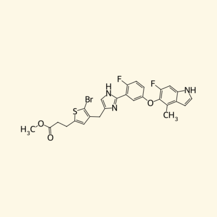 COC(=O)CCc1cc(Cc2c[nH]c(-c3cc(Oc4c(F)cc5[nH]ccc5c4C)ccc3F)n2)c(Br)s1